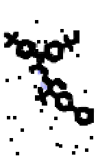 C=C/C(=C\C=C(/C)N(c1ccc(C(C)(C)C)cc1)c1ccc(C(C)(C)CC)cc1)C(c1ccc(-c2ccccc2)cc1)C(C)(C)C